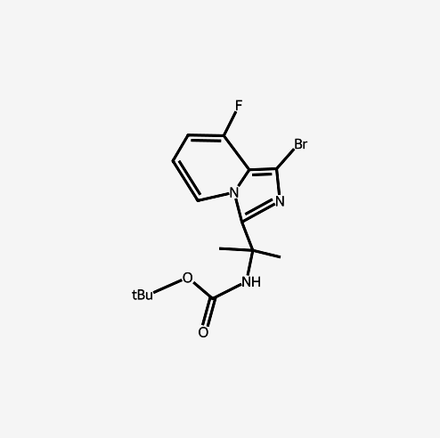 CC(C)(C)OC(=O)NC(C)(C)c1nc(Br)c2c(F)cccn12